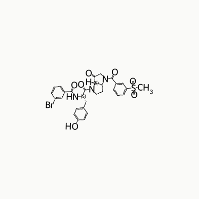 CS(=O)(=O)c1cccc(C(=O)N2CC(=O)[C@@H]3C2CCN3C(=O)[C@H](Cc2ccc(O)cc2)NC(=O)c2cccc(Br)c2)c1